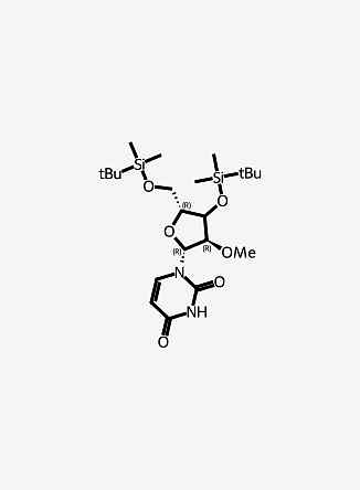 CO[C@@H]1C(O[Si](C)(C)C(C)(C)C)[C@@H](CO[Si](C)(C)C(C)(C)C)O[C@H]1n1ccc(=O)[nH]c1=O